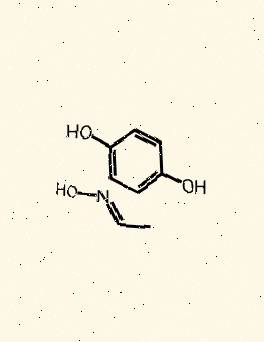 C/C=N/O.Oc1ccc(O)cc1